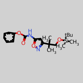 CC(C)(CO[Si](C)(C)C(C)(C)C)c1cc(NC(=O)Oc2ccccc2)on1